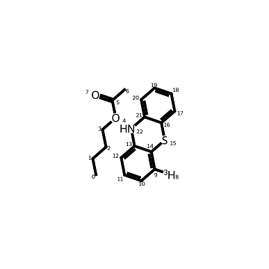 CCCCOC(C)=O.[3H]c1cccc2c1Sc1ccccc1N2